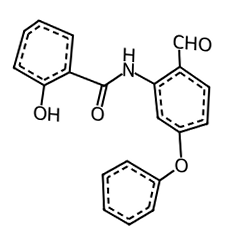 O=Cc1ccc(Oc2ccccc2)cc1NC(=O)c1ccccc1O